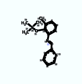 Cc1cccc(/N=C/c2ccccn2)c1O[Si](C)(C)C